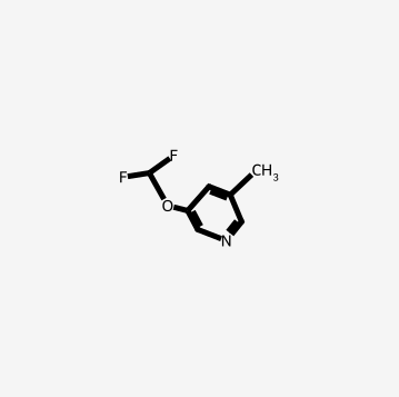 Cc1cncc(OC(F)F)c1